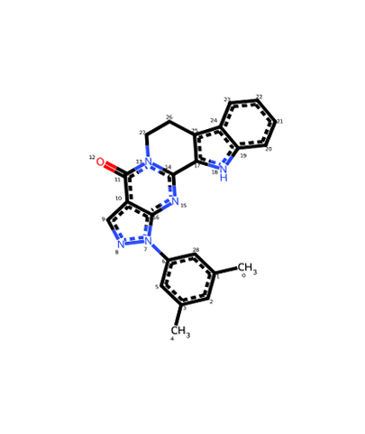 Cc1cc(C)cc(-n2ncc3c(=O)n4c(nc32)-c2[nH]c3ccccc3c2CC4)c1